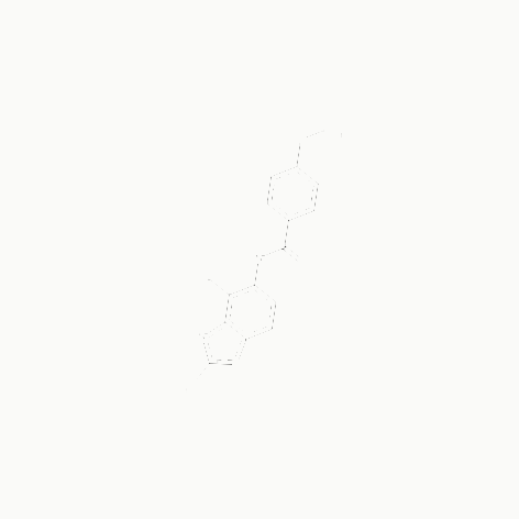 COc1ccc(C(=O)Nc2ccc3sc(C)nc3c2Cl)cc1